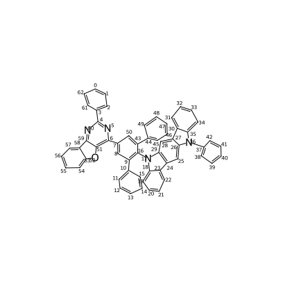 c1ccc(-c2nc(-c3cc(-c4ccccc4)c(-n4c5ccccc5c5cc6c(cc54)c4ccccc4n6-c4ccccc4)c(-c4ccccc4)c3)c3oc4ccccc4c3n2)cc1